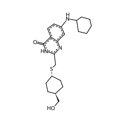 O=c1[nH]c(CS[C@H]2CC[C@H](CO)CC2)nc2cc(NC3CCCCC3)ccc12